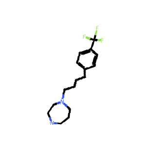 FC(F)(F)c1ccc(CCCCN2CCC[N]CC2)cc1